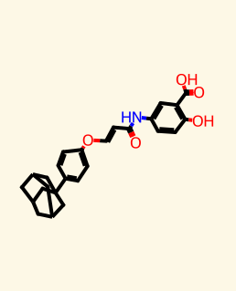 O=C(C=COc1ccc(C23CC4CC(CC(C4)C2)C3)cc1)Nc1ccc(O)c(C(=O)O)c1